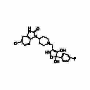 O=c1[nH]c2cc(Cl)ccc2n1C1CCN(CC2=C(O)C(O)(c3ccc(F)cc3)ON2)CC1